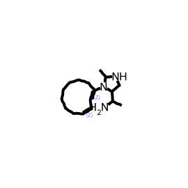 CC(N)C1CNC(C)N1/C1=C\C=C/CCCCCCC1